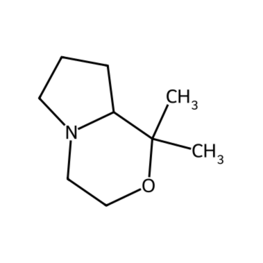 CC1(C)OCCN2CCCC21